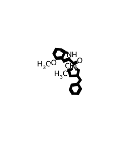 COc1cccc2[nH]c(C(=O)N3CC(Cc4ccccc4)CC3(C)C)cc12